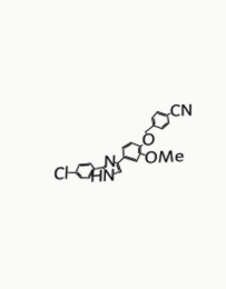 COc1cc(-c2c[nH]c(-c3ccc(Cl)cc3)n2)ccc1OCc1ccc(C#N)cc1